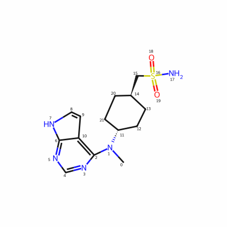 CN(c1ncnc2[nH]ccc12)[C@H]1CC[C@H](CS(N)(=O)=O)CC1